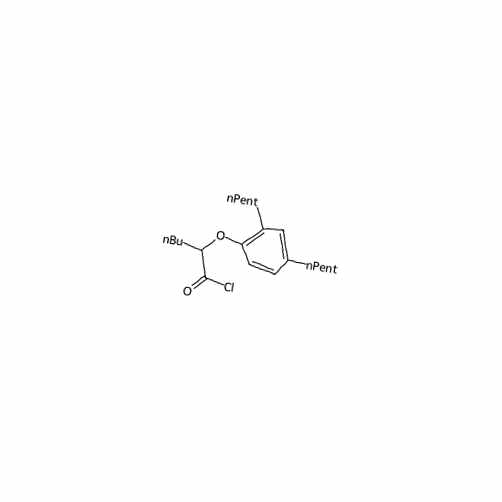 CCCCCc1ccc(OC(CCCC)C(=O)Cl)c(CCCCC)c1